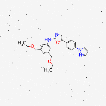 CCOCc1cc(COCC)cc(Nc2ncc(-c3ccc(-n4cccn4)cc3)o2)c1